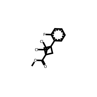 COC(=O)C12CC(c3ccccc3F)(C1)C2(Cl)Cl